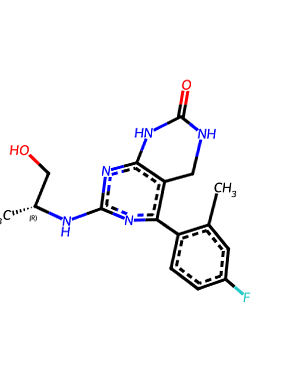 Cc1cc(F)ccc1-c1nc(N[C@H](C)CO)nc2c1CNC(=O)N2